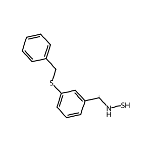 SN[CH]c1cccc(SCc2ccccc2)c1